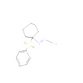 CC(C)N=NC1(S(=O)(=O)c2ccccc2)CCCCC1